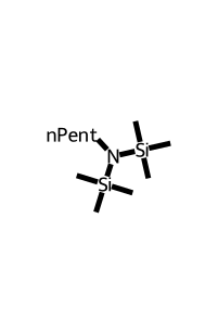 CCCCCN([Si](C)(C)C)[Si](C)(C)C